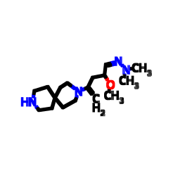 C=C(CC(/C=N\N(C)C)OC)N1CCC2(CCNCC2)CC1